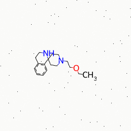 CCOCCN1CCC2(CC1)NCCc1ccccc12